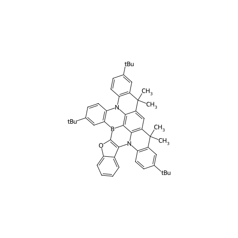 CC(C)(C)c1ccc2c(c1)B1c3oc4ccccc4c3N3c4ccc(C(C)(C)C)cc4C(C)(C)c4cc5c(c1c43)N2c1ccc(C(C)(C)C)cc1C5(C)C